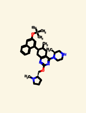 CC1Cc2c(nc(OC[C@@H]3CCCN3C)nc2N2CCNC[C@@H]2C)CC1c1cc(O[Si](C)(C)C(C)(C)C)cc2ccccc12